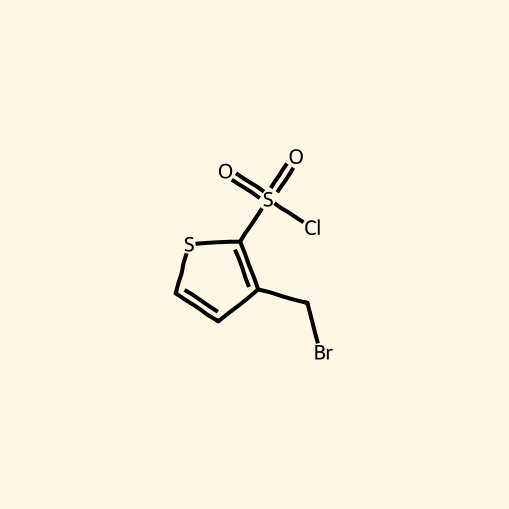 O=S(=O)(Cl)c1sccc1CBr